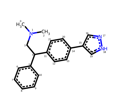 CN(C)CC(c1ccccc1)c1ccc(-c2cn[nH]c2)cc1